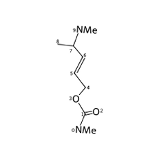 CNC(=O)OC/C=C/C(C)NC